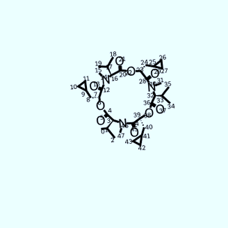 CC(C)[C@H]1C(=O)O[C@H](CC2CC2)C(=O)N(C)[C@@H](C(C)C)C(=O)O[C@H](CC2CC2)C(=O)N(C)[C@@H](C(C)C)C(=O)O[C@H](CC2CC2)C(=O)N1C